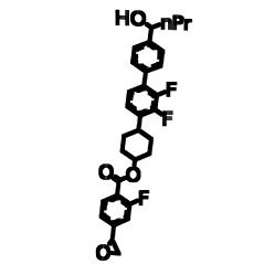 CCCC(O)c1ccc(-c2ccc(C3CCC(OC(=O)c4ccc(C5CO5)cc4F)CC3)c(F)c2F)cc1